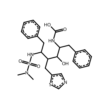 CN(C)S(=O)(=O)NC(Cc1ccccc1)C(Cc1cncs1)C(O)C(Cc1ccccc1)NC(=O)O